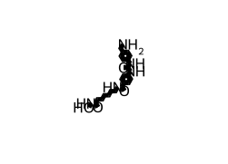 NCc1ccc(NC(=O)Nc2ccc(C(=O)NCCCCCCC(=O)NO)cc2)cc1